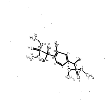 COP(=O)(OC)C(Br)c1ccc(C(Br)(Br)P(=O)(OC)OC)c(Br)c1